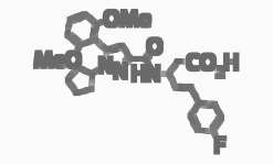 COc1cccc(OC)c1-c1cc(C(=O)NC(C=Cc2ccc(F)cc2)CC(=O)O)nn1C1CCCC1